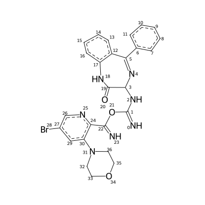 N=C(NC1N=C(c2ccccc2)c2ccccc2NC1=O)OC(=N)c1ncc(Br)cc1N1CCOCC1